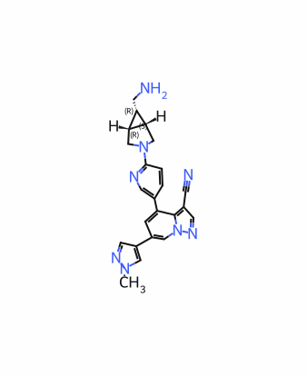 Cn1cc(-c2cc(-c3ccc(N4C[C@@H]5[C@H](CN)[C@@H]5C4)nc3)c3c(C#N)cnn3c2)cn1